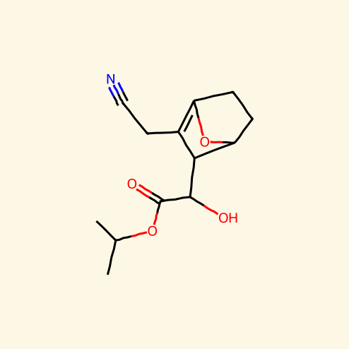 CC(C)OC(=O)C(O)C1C(CC#N)=C2CCC1O2